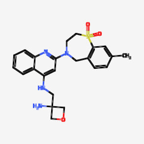 Cc1ccc2c(c1)S(=O)(=O)CCN(c1cc(NCC3(N)COC3)c3ccccc3n1)C2